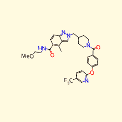 COCCNC(=O)c1ccc2nn(CC3CCN(C(=O)c4ccc(Oc5ccc(C(F)(F)F)cn5)cc4)CC3)cc2c1C